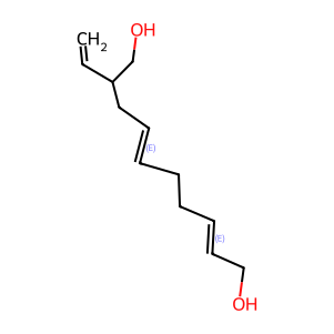 C=CC(CO)C/C=C/CC/C=C/CO